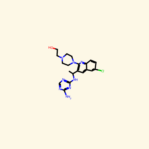 CC(Nc1ncnc(N)n1)c1cc2cc(Cl)ccc2nc1N1CCN(CCO)CC1